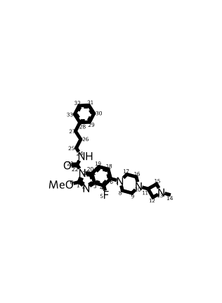 COc1nc2c(F)c(N3CCN(C4CN(C)C4)CC3)ccc2n1C(=O)NCCCc1ccccc1